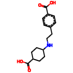 O=C(O)c1ccc(CCNC2CCC(C(=O)O)CC2)cc1